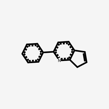 C1=Cc2ccc(-c3ccccc3)nc2C1